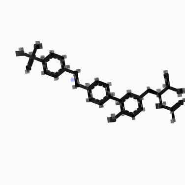 CC(=O)N[C@@H](Cc1ccc(O)c(-c2ccc(/N=N/c3ccc([As](=O)(O)O)cc3)cc2)c1)C(=O)O